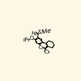 CSNc1cc2c3c(c(=O)oc2cc1OC(C)C)CCCC3